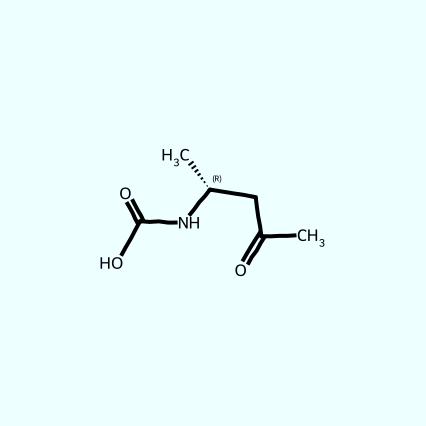 CC(=O)C[C@@H](C)NC(=O)O